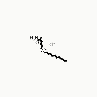 CCCCCCCCCCCC[N+](C)(C)CCCC=C(C)C(N)=O.[Cl-]